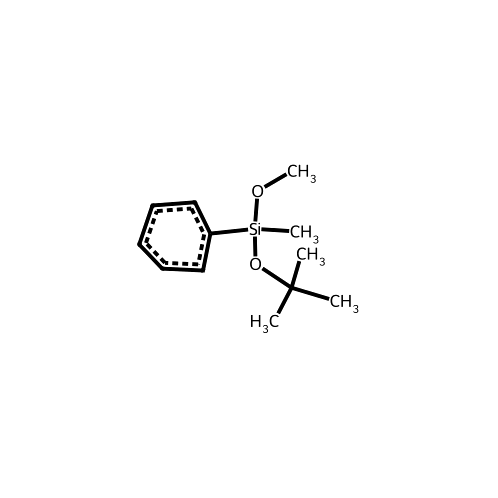 CO[Si](C)(OC(C)(C)C)c1ccccc1